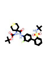 CC(C)(C)NS(=O)(=O)c1ccccc1-c1ccc(NC(=O)C2(NC(=O)OC(C)(C)C)CCSCC2)c(F)c1